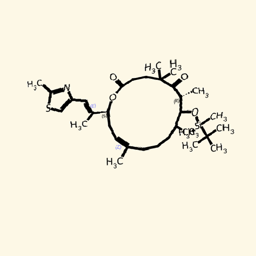 C/C1=C/C[C@@H](/C(C)=C/c2csc(C)n2)OC(=O)CCC(C)(C)C(=O)[C@H](C)C(O[Si](C)(C)C(C)(C)C)C(C)CCC1